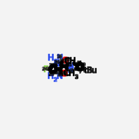 Cc1nn(Cc2ccc(C(C)(C)C)cc2)c(C)c1-c1c(C(N)=O)nc2cc(F)ccc2c1C(N)=O